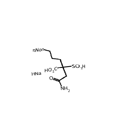 CCCCCCCCCCCCC(CC(N)=O)(C(=O)O)S(=O)(=O)O.[NaH]